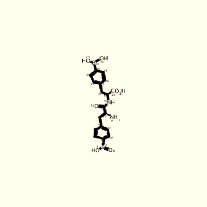 N[C@@H](Cc1ccc(S(=O)O)cc1)C(=O)N[C@@H](Cc1ccc(B(O)O)cc1)C(=O)O